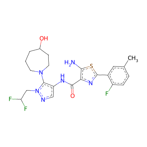 Cc1ccc(F)c(-c2nc(C(=O)Nc3cnn(CC(F)F)c3N3CCCC(O)CC3)c(N)s2)c1